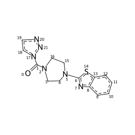 O=C(N1CCN(c2nc3ccccc3s2)CC1)n1ccnn1